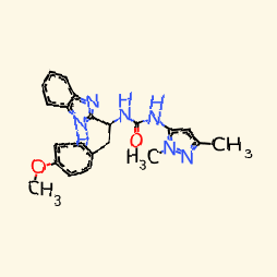 COc1ccc(CC(NC(=O)Nc2cc(C)nn2C)c2nc3ccccc3[nH]2)cc1